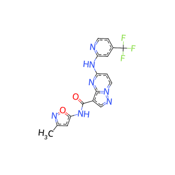 Cc1cc(NC(=O)c2cnn3ccc(Nc4cc(C(F)(F)F)ccn4)nc23)on1